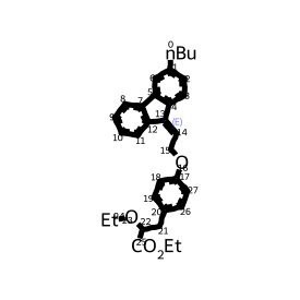 CCCCc1ccc2c(c1)-c1ccccc1/C2=C\COc1ccc(CC(OCC)C(=O)OCC)cc1